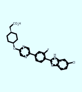 O=C(O)C[C@H]1CC[C@@H](Oc2cnc(-c3ccc(-c4nc5ccc(Cl)cc5[nH]4)c(F)c3)cn2)CC1